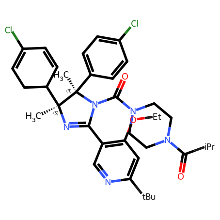 CCOc1cc(C(C)(C)C)ncc1C1=N[C@@](C)(C2C=CC(Cl)=CC2)[C@@](C)(c2ccc(Cl)cc2)N1C(=O)N1CCN(C(=O)C(C)C)CC1